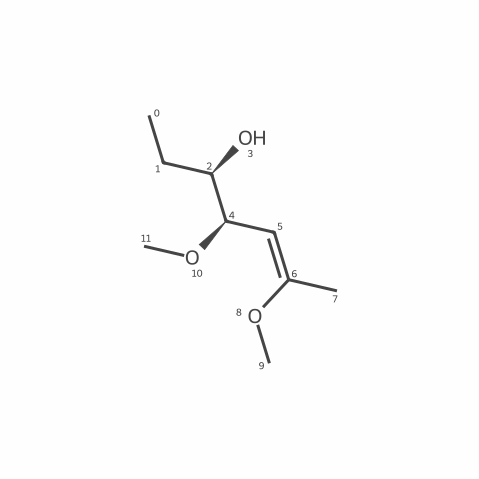 CC[C@@H](O)[C@@H](/C=C(/C)OC)OC